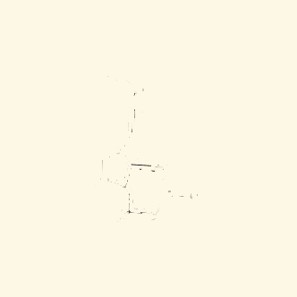 COC#Cn1cnc2c(=O)[nH]c(N)nc21